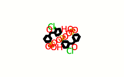 O=C(c1cccc(S(=O)(=O)O)c1)c1cc(S(=O)(=O)c2ccc(Cl)c(C(=O)c3cccc(S(=O)(=O)O)c3)c2)ccc1Cl